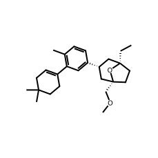 CC[C@@]12CC[C@@](COC)(C[C@H](c3ccc(C)c(C4=CCC(C)(C)CC4)c3)C1)O2